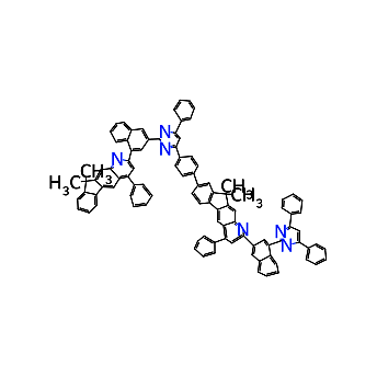 CC1(C)c2cc(-c3ccc(-c4cc(-c5ccccc5)nc(-c5cc(-c6cc(-c7ccccc7)c7cc8c(cc7n6)C(C)(C)c6ccccc6-8)c6ccccc6c5)n4)cc3)ccc2-c2cc3c(-c4ccccc4)cc(-c4cc(-c5nc(-c6ccccc6)cc(-c6ccccc6)n5)c5ccccc5c4)nc3cc21